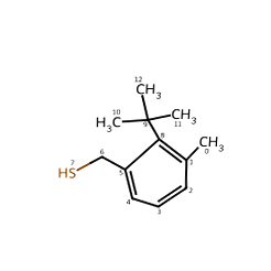 Cc1cccc(CS)c1C(C)(C)C